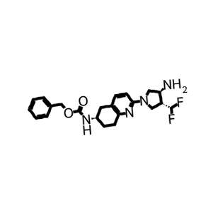 N[C@@H]1CN(c2ccc3c(n2)CC[C@H](NC(=O)OCc2ccccc2)C3)C[C@H]1C(F)F